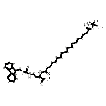 CC(C)(C)OC(=O)CCCCCCCCCCCCCCCCC(=O)NC(CCNC(=O)OCC1c2ccccc2-c2ccccc21)C(=O)O